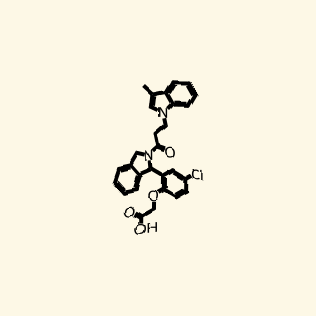 Cc1cn(CCC(=O)N2Cc3ccccc3C2c2cc(Cl)ccc2OCC(=O)O)c2ccccc12